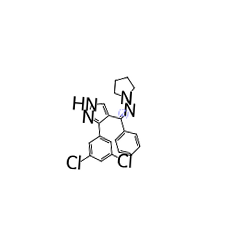 Clc1cc(Cl)cc(-c2n[nH]cc2/C(=N\N2CCCC2)c2ccccc2)c1